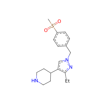 CCc1nn(Cc2ccc(S(C)(=O)=O)cc2)cc1C1CCNCC1